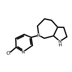 Clc1ccc(N2CCCC3CCNC3C2)cn1